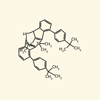 CC1=C2c3c(-c4ccc(C(C)(C)C)cc4)cccc3[CH]1[Hf][CH]1C(C)=C(c3c(-c4ccc(C(C)(C)C)cc4)cccc31)[Si]2(C)C